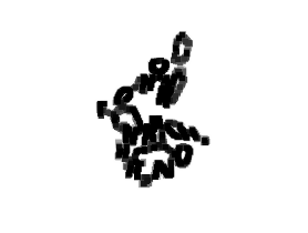 Cc1nn(-c2cc(OC3CN(C(=O)N4N=CC[C@H]4c4ccccc4)C3)c(F)cn2)c(C)c1C(N)=O